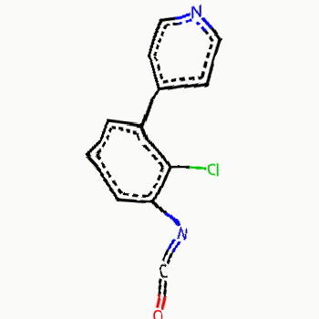 O=C=Nc1cccc(-c2ccncc2)c1Cl